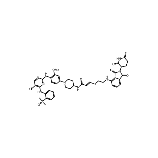 COc1cc(N2CCC(NC(=O)C=COCCNc3cccc4c3C(=O)N(C3CCC(=O)NC3=O)C4=O)CC2)ccc1Nc1ncc(Cl)c(Nc2ccccc2P(C)(C)=O)n1